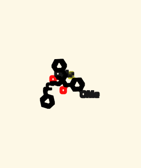 COC(=O)C1(CC=C=Cc2ccccc2)C(=O)c2cc(OC)ccc2SC1c1ccccc1